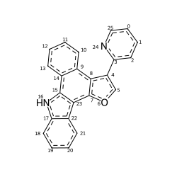 c1ccc(-c2coc3c2c2ccccc2c2[nH]c4ccccc4c23)nc1